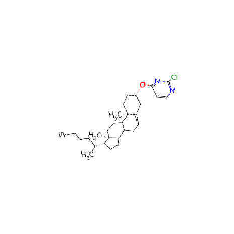 CC(C)CCCC(C)[C@H]1CCC2C3CC=C4C[C@@H](Oc5ccnc(Cl)n5)CC[C@]4(C)C3CC[C@@]21C